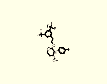 OC[C@@H]1CCO[C@H](OCCc2cc(C(F)(F)F)cc(C(F)(F)F)c2)[C@H]1c1ccc(F)cc1